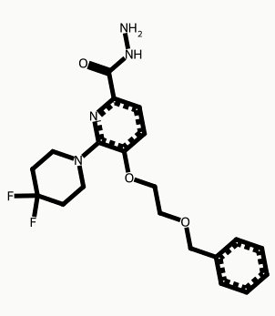 NNC(=O)c1ccc(OCCOCc2ccccc2)c(N2CCC(F)(F)CC2)n1